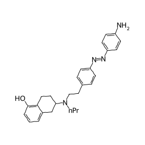 CCCN(CCc1ccc(/N=N/c2ccc(N)cc2)cc1)C1CCc2c(O)cccc2C1